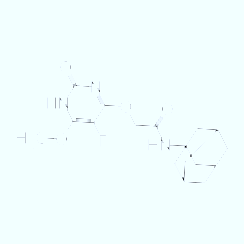 COc1[nH]c(=O)nc(OCC(=O)NC23CC4CC(CC(C4)C2)C3)c1F